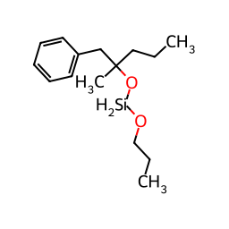 CCCO[SiH2]OC(C)(CCC)Cc1ccccc1